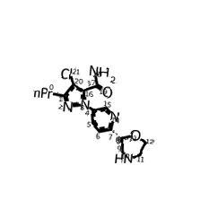 CCCc1nn(-c2ccc([C@H]3CNCCO3)nc2)c(C(N)=O)c1Cl